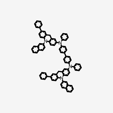 c1ccc(-c2ccc3c(c2)Cc2cc(N(c4ccccc4)c4ccc(-c5ccc(N(c6ccccc6)c6ccc7c(c6)Cc6cc(-c8ccccc8)ccc6N7c6ccc7ccccc7c6)cc5)cc4)ccc2N3c2ccc3ccccc3c2)cc1